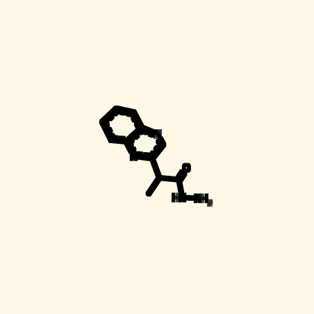 CC(C(=O)NN)c1cnc2ccccc2n1